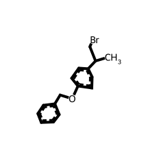 CC(CBr)c1ccc(OCc2ccccc2)cc1